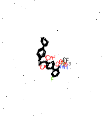 O=C(NS(=O)(=O)C(F)(F)F)c1ccc(F)cc1-c1ccc2c(c1)OC[C@@H](Cc1ccc(-c3ccccc3)cc1)[C@@H]2O